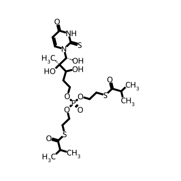 CC(C)C(=O)SCCOP(=O)(OCCSC(=O)C(C)C)OCCC(O)[C@@](C)(O)[C@@H](O)n1ccc(=O)[nH]c1=S